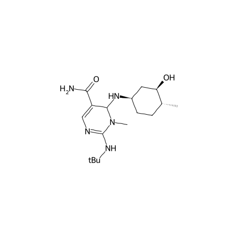 C[C@@H]1CC[C@@H](NC2C(C(N)=O)=CN=C(NC(C)(C)C)N2C)C[C@H]1O